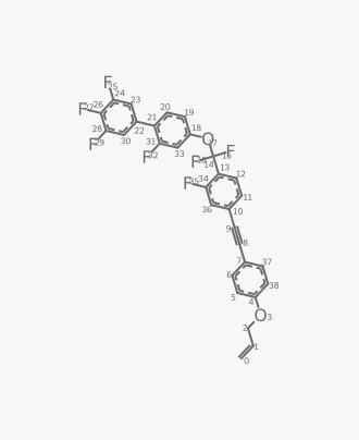 C=CCOc1ccc(C#Cc2ccc(C(F)(F)Oc3ccc(-c4cc(F)c(F)c(F)c4)c(F)c3)c(F)c2)cc1